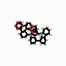 c1ccc(-c2ccccc2-c2c(-c3ccccc3)cccc2N(c2ccccc2)c2cccc(-c3cccc4c5ccccc5n(-c5ccccc5)c34)c2)cc1